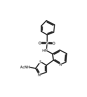 CC(=O)Nc1ncc(-c2ncccc2NS(=O)(=O)c2ccccc2)s1